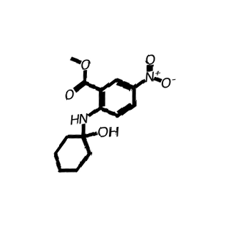 COC(=O)c1cc([N+](=O)[O-])ccc1NC1(O)CCCCC1